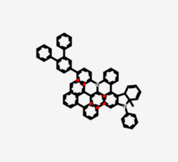 CC12C=CC=CC1c1c(-c3ccccc3N(c3ccc(-c4ccc(-c5ccccc5)c(-c5ccccc5)c4)cc3)c3ccccc3-c3cccc4cccc(-c5ccccc5)c34)cccc1N2c1ccccc1